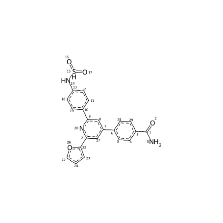 NC(=O)c1ccc(-c2cc(-c3ccc(N[SH](=O)=O)cc3)nc(-c3ccco3)c2)cc1